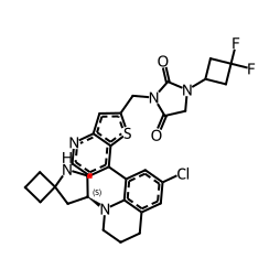 O=C1CN(C2CC(F)(F)C2)C(=O)N1Cc1cc2nccc(-c3cc(Cl)cc4c3N([C@@H]3CNC5(CCC5)C3)CCC4)c2s1